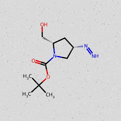 CC(C)(C)OC(=O)N1C[C@@H](N=N)C[C@H]1CO